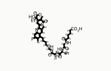 CC[C@@]1(O)C(=O)OCc2c1cc1n(c2=O)Cc2cc3c(CCCCOCNC(=O)[C@H](C)NC(=O)[C@@H](NC(=O)CNC(=O)CCCCC(=O)O)C(C)C)c(C)c(F)cc3nc2-1